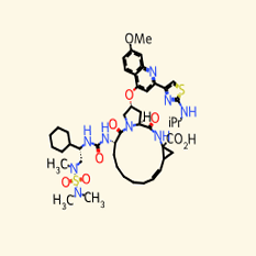 COc1ccc2c(O[C@@H]3C[C@H]4C(=O)N[C@]5(C(=O)O)CC5/C=C\CCCCC[C@H](NC(=O)N[C@H](CN(C)S(=O)(=O)N(C)C)C5CCCCC5)C(=O)N4C3)cc(-c3csc(NC(C)C)n3)nc2c1